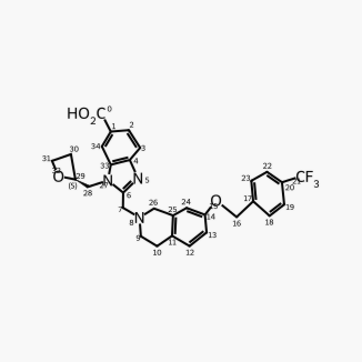 O=C(O)c1ccc2nc(CN3CCc4ccc(OCc5ccc(C(F)(F)F)cc5)cc4C3)n(C[C@@H]3CCO3)c2c1